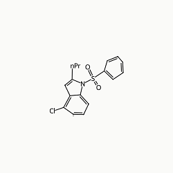 CCCc1cc2c(Cl)[c]ccc2n1S(=O)(=O)c1ccccc1